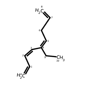 C=C/C=C\C(=C/CC=C)CC